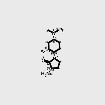 CC(C)N(C)[C@@H]1CC[C@H](N2CC[C@H](N)C2=O)[C@H](C)C1